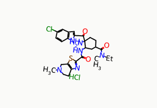 CCN(C)C(=O)C1CCC(N)(C(=O)c2cc3cc(Cl)ccc3[nH]2)C(NC(=O)c2nc3c(s2)CN(C)CC3)C1.Cl